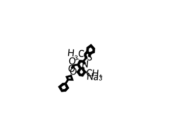 Cc1c(-c2cc(C(=O)[O-])c3c(OC4CC(c5ccccc5)C4)ccc(C)c3n2)sc2ccccc12.[Na+]